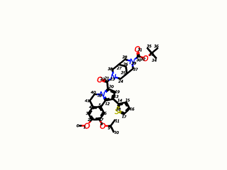 COc1cc2c(cc1OC(C)C)-c1c(-c3cccs3)cc(C(=O)N3CC4CC(CN(C(=O)OC(C)(C)C)C4)C3)n1CC2